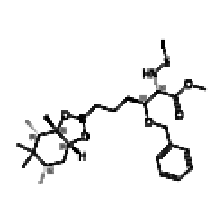 COC(=O)[C@@H](NSI)[C@H](CCCB1O[C@@H]2C[C@H](C)C(C)(C)[C@H](C)[C@]2(C)O1)OCc1ccccc1